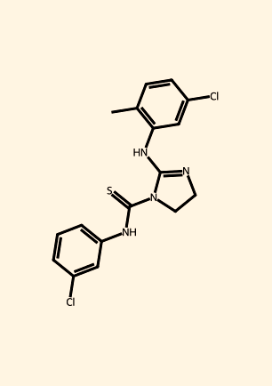 Cc1ccc(Cl)cc1NC1=NCCN1C(=S)Nc1cccc(Cl)c1